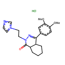 COc1ccc(C2=NN(CCn3ccnc3)C(=O)C3CCCCC23)cc1OC.Cl